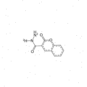 [2H]N(N)C(=O)c1cc2ccccc2oc1=O